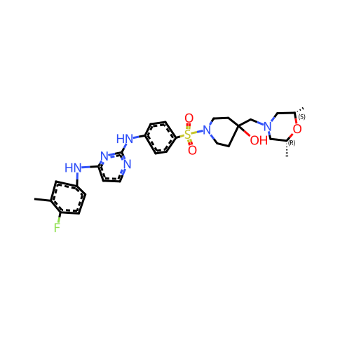 Cc1cc(Nc2ccnc(Nc3ccc(S(=O)(=O)N4CCC(O)(CN5C[C@@H](C)O[C@@H](C)C5)CC4)cc3)n2)ccc1F